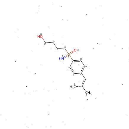 CC(C)=Cc1ccc(S(=N)(=O)CCCCO)cc1